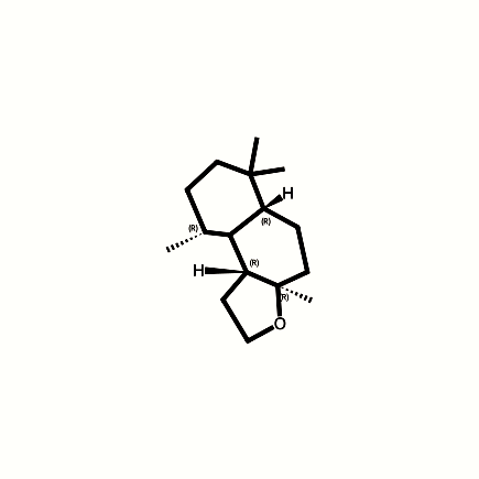 C[C@@H]1CCC(C)(C)[C@@H]2CC[C@@]3(C)OCC[C@@H]3C12